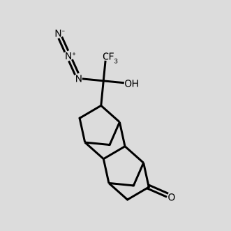 [N-]=[N+]=NC(O)(C1CC2CC1C1C3CC(CC3=O)C21)C(F)(F)F